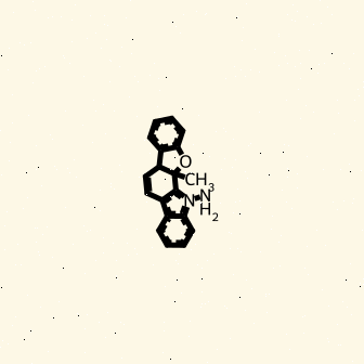 CC12Oc3ccccc3C1C=Cc1c2n(N)c2ccccc12